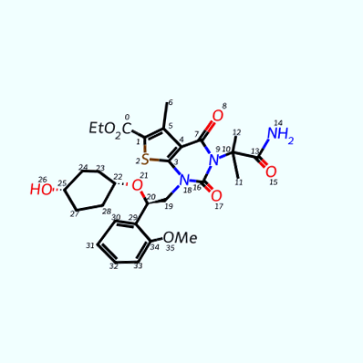 CCOC(=O)c1sc2c(c1C)c(=O)n(C(C)(C)C(N)=O)c(=O)n2C[C@H](O[C@H]1CC[C@@H](O)CC1)c1ccccc1OC